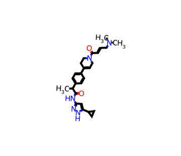 CC(C(=O)Nc1cc(C2CC2)[nH]n1)c1ccc(C2=CCN(C(=O)/C=C/CN(C)C)CC2)cc1